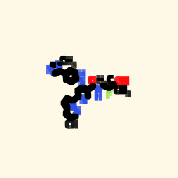 Cn1cncc1-c1ccc(Nc2cc(-c3ccc4cc(C#N)cnn34)ncc2C(=O)NC[C@@H](F)C(C)(C)O)cc1